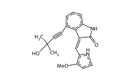 COc1cc[nH]c1C=C1C(=O)Nc2cccc(C#CC(C)(C)O)c21